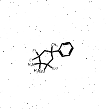 CCC1(CC)CC(C)(c2ccccc2)CC(C(C)(C)C)(C(C)(C)C)C1(N)N